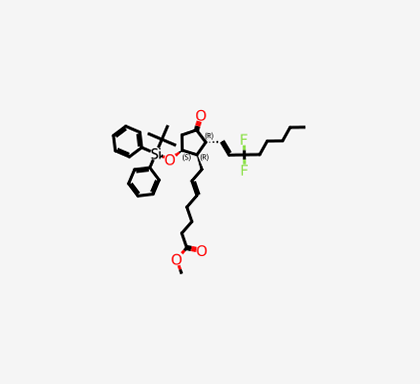 CCCCCC(F)(F)C=C[C@H]1C(=O)C[C@H](O[Si](c2ccccc2)(c2ccccc2)C(C)(C)C)[C@@H]1CC=CCCCC(=O)OC